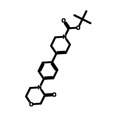 CC(C)(C)OC(=O)N1CC=C(c2ccc(N3CCOCC3=O)cc2)CC1